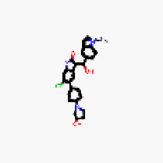 Cn1ccc2cc(C(O)=C3C(=O)Nc4cc(Cl)c(-c5ccc(N6CCC(O)C6)cc5)cc43)ccc21